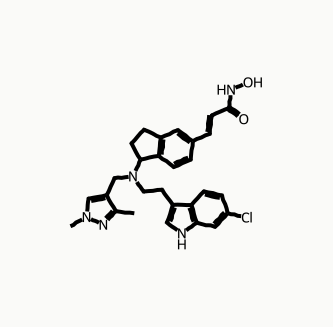 Cc1nn(C)cc1CN(CCc1c[nH]c2cc(Cl)ccc12)C1CCc2cc(C=CC(=O)NO)ccc21